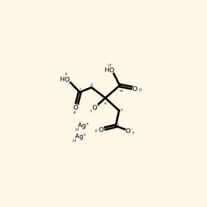 O=C([O-])CC([O-])(CC(=O)O)C(=O)O.[Ag+].[Ag+]